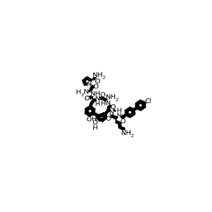 CN(C(=O)[C@H](CCCCN)NC(=O)c1ccc(-c2ccc(Cl)cc2)cc1)[C@@H]1C(=O)N[C@@H](N)C(=O)N[C@H](C(=O)N[C@@H](N)C(=O)N2CCC[C@H]2C(N)=O)Cc2ccc(O)c(c2)-c2cc1ccc2O